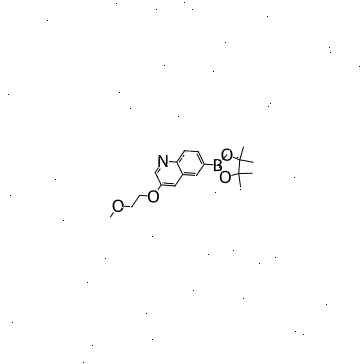 COCCOc1cnc2ccc(B3OC(C)(C)C(C)(C)O3)cc2c1